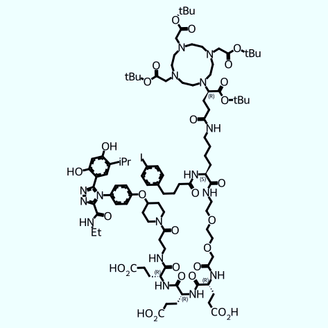 CCNC(=O)c1nnc(-c2cc(C(C)C)c(O)cc2O)n1-c1ccc(OC2CCN(C(=O)CCNC(=O)[C@@H](CCC(=O)O)NC(=O)[C@@H](CCC(=O)O)NC(=O)[C@@H](CCC(=O)O)NC(=O)COCCOCCNC(=O)[C@H](CCCCNC(=O)CC[C@H](C(=O)OC(C)(C)C)N3CCN(CC(=O)OC(C)(C)C)CCN(CC(=O)OC(C)(C)C)CCN(CC(=O)OC(C)(C)C)CC3)NC(=O)CCCc3ccc(I)cc3)CC2)cc1